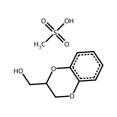 CS(=O)(=O)O.OCC1COc2ccccc2O1